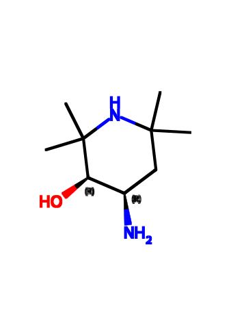 CC1(C)C[C@@H](N)[C@@H](O)C(C)(C)N1